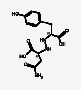 NC(=O)C[C@H](NN[C@@H](Cc1ccc(O)cc1)C(=O)O)C(=O)O